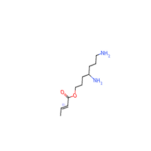 C/C=C/C(=O)OCCCC(N)CCCN